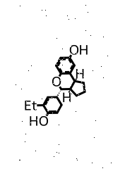 CCC1=CC([C@@H]2Oc3ccc(O)cc3[C@H]3CCC[C@H]32)CC=C1O